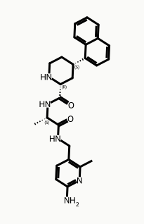 Cc1nc(N)ccc1CNC(=O)[C@H](C)NC(=O)[C@H]1C[C@@H](c2cccc3ccccc23)CCN1